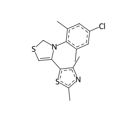 Cc1nc(C)c(C2=CSCN2c2c(C)cc(Cl)cc2C)s1